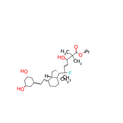 CC(C)OC(=O)C(C)(C)[C@H](O)/C=C/[C@@](C)(F)[C@H]1CC[C@H]2/C(=C/C=C3C[C@@H](O)C[C@H](O)C3)CCC[C@@]21C